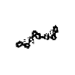 c1cc(-c2cnc(-c3cccc4c3sc3ccccc34)nc2)c2ccc(-c3ccc(-c4cccc5c4oc4ccccc45)nc3)cc2c1